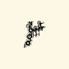 CC(=O)c1sc(NC(=O)N[C@H]2CN(C(=O)CN(C)C)CC[C@H]2CN2CCCC(Cc3ccc(F)cc3)C2)nc1C